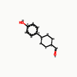 O=CC1CCC(c2ccc(O)cc2)CC1